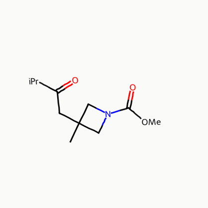 COC(=O)N1CC(C)(CC(=O)C(C)C)C1